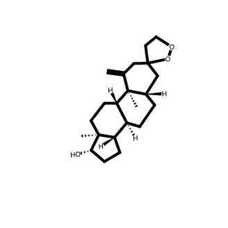 C=C1CC2(CCOO2)C[C@@H]2CC[C@H]3[C@@H]4CC[C@H](O)[C@@]4(C)CC[C@@H]3[C@@]12C